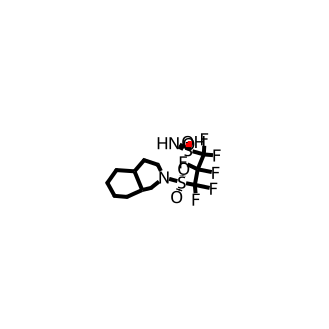 N=S(=O)(O)C(F)(F)C(F)(F)C(F)(F)S(=O)(=O)N1CCC2CCCCC2C1